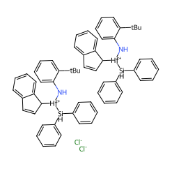 CC(C)(C)c1ccccc1[NH][Hf+]([CH]1C=Cc2ccccc21)[SiH](c1ccccc1)c1ccccc1.CC(C)(C)c1ccccc1[NH][Hf+]([CH]1C=Cc2ccccc21)[SiH](c1ccccc1)c1ccccc1.[Cl-].[Cl-]